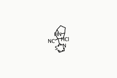 Cl.N#CC1(c2nccs2)CC2CCC(C1)N2